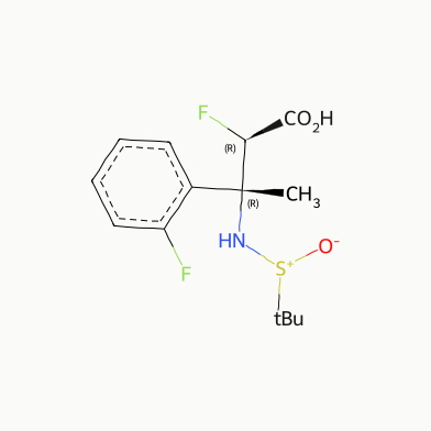 CC(C)(C)[S+]([O-])N[C@](C)(c1ccccc1F)[C@@H](F)C(=O)O